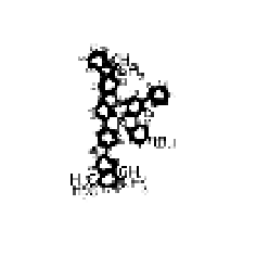 CC(C)(C)c1ccc(N2B3c4cc5sc6ccccc6c5cc4-n4c5cc6c(cc5c5ccc(c3c54)-c3cc4sc5cc7c(cc5c4cc32)C(C)(C)CCC7(C)C)-c2ccccc2C6(C)C)cc1